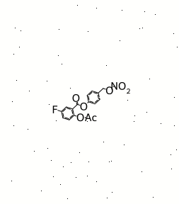 CC(=O)Oc1ccc(F)cc1C(=O)Oc1ccc(CO[N+](=O)[O-])cc1